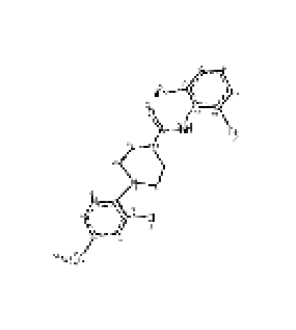 CCOC(=O)c1cnc(N2CCN(C(=O)Nc3c(CC)cccc3C(C)C)CC2)c(Cl)c1